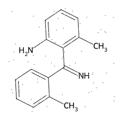 Cc1ccccc1C(=N)c1c(C)cccc1N